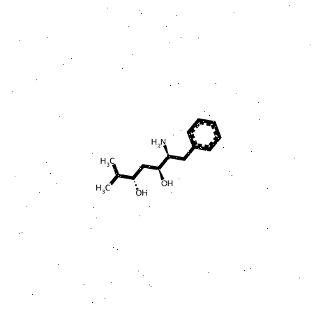 CC(C)[C@@H](O)C[C@H](O)[C@@H](N)Cc1ccccc1